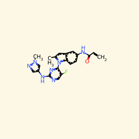 C=CC(=O)Nc1ccc2c(c1)cc(C)n2-c1nc(Nc2cnn(C)c2)ncc1F